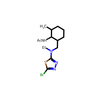 CCN(CC1CCCC(C)C1NC(C)=O)c1nnc(Br)s1